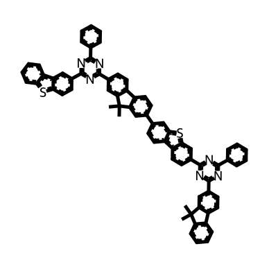 CC1(C)c2ccccc2-c2ccc(-c3nc(-c4ccccc4)nc(-c4ccc5c(c4)sc4cc(-c6ccc7c(c6)C(C)(C)c6cc(-c8nc(-c9ccccc9)nc(-c9ccc%10sc%11ccccc%11c%10c9)n8)ccc6-7)ccc45)n3)cc21